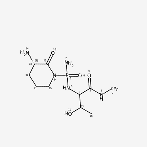 CCCNC(=O)C(NP(N)(=O)N1CCC[C@H](N)C1=O)C(C)O